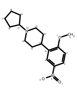 COc1ccc([N+](=O)[O-])cc1C1CCN(C2CCCC2)CC1